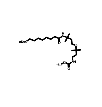 CCCCCCCCCCCCCCCCCC(=O)NC(C)(C)CCOC(C)(C)CCNC(=O)OC(C)(C)C